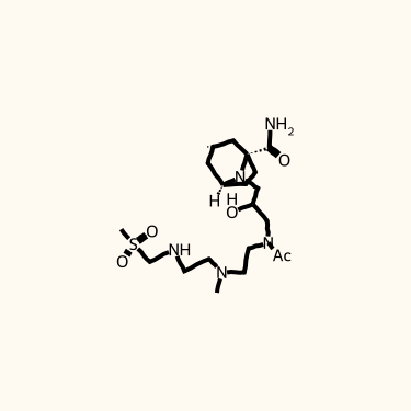 CC(=O)N(CCN(C)CCNCS(C)(=O)=O)CC(O)CN1[C@@H]2C[CH]C[C@@]1(C(N)=O)CC2